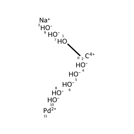 CO.[C+4].[Na+].[OH-].[OH-].[OH-].[OH-].[OH-].[OH-].[OH-].[Pd+2]